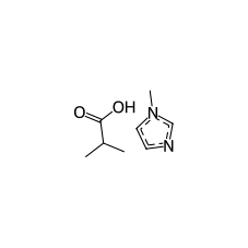 CC(C)C(=O)O.Cn1ccnc1